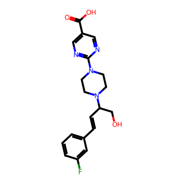 O=C(O)c1cnc(N2CCN(C(/C=C/c3cccc(F)c3)CO)CC2)nc1